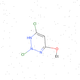 CCOC1=NN(Cl)NC(Cl)=C1